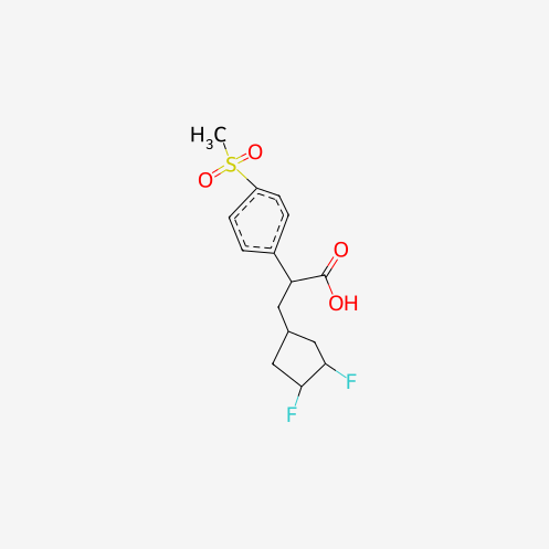 CS(=O)(=O)c1ccc(C(CC2CC(F)C(F)C2)C(=O)O)cc1